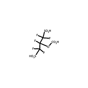 O=C(O)OC(F)(C(F)(F)S(=O)(=O)O)C(F)(F)S(=O)(=O)O